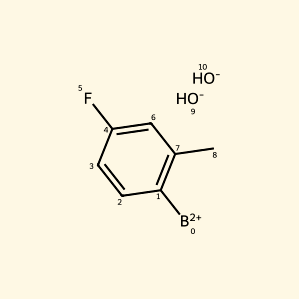 [B+2]c1ccc(F)cc1C.[OH-].[OH-]